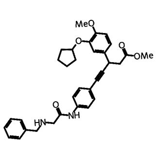 COC(=O)CC(C#Cc1ccc(NC(=O)CNCc2ccccc2)cc1)c1ccc(OC)c(OC2CCCC2)c1